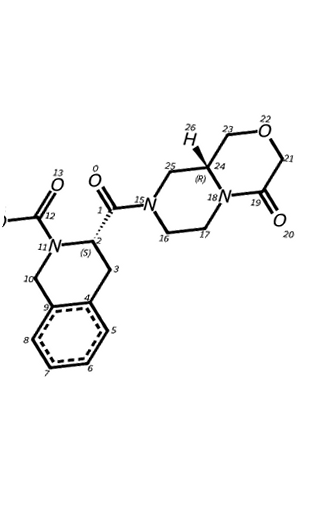 O=C([C@@H]1Cc2ccccc2CN1C(=O)O)N1CCN2C(=O)COC[C@H]2C1